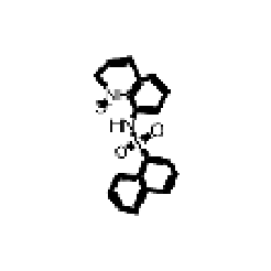 O=S(=O)(Nc1cccc2c1[NH+]([O-])CC=C2)c1cccc2ccccc12